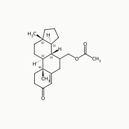 CC(=O)OCC1CC2=CC(=O)CC[C@]2(C)[C@H]2CC[C@]3(C)CCC[C@H]3[C@H]12